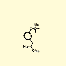 COC(O)Cc1cccc(O[Si](C)(C)C(C)(C)C)c1